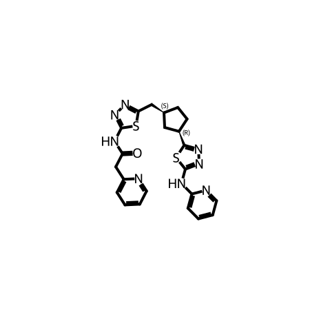 O=C(Cc1ccccn1)Nc1nnc(C[C@H]2CC[C@@H](c3nnc(Nc4ccccn4)s3)C2)s1